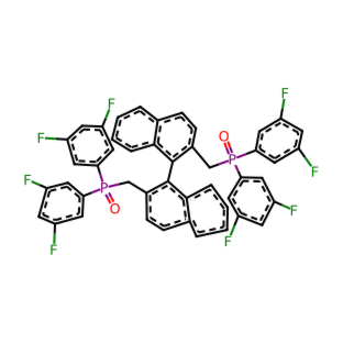 O=P(Cc1ccc2ccccc2c1-c1c(CP(=O)(c2cc(F)cc(F)c2)c2cc(F)cc(F)c2)ccc2ccccc12)(c1cc(F)cc(F)c1)c1cc(F)cc(F)c1